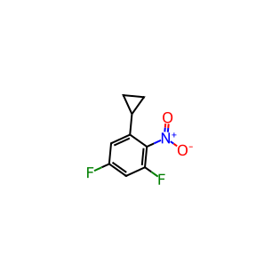 O=[N+]([O-])c1c(F)cc(F)cc1C1CC1